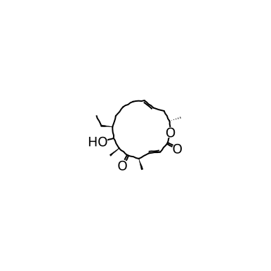 CC[C@H]1CCC/C=C/C[C@H](C)OC(=O)/C=C/[C@@H](C)C(=O)[C@@H](C)C1O